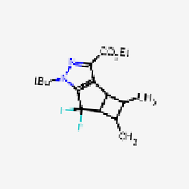 CCOC(=O)c1nn(C(C)(C)C)c2c1C1C(C)C(C)C1C2(F)F